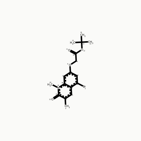 Cc1cc2c(Br)cc(OCC(=O)OC(C)(C)C)cc2n(C)c1=O